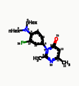 CCCCCCN(CCCCCC)c1ccc(-n2c(C)nc(C)cc2=O)cc1F